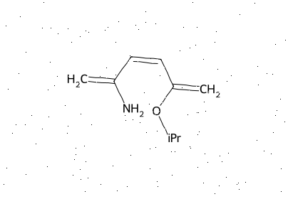 C=C(N)/C=C\C(=C)OC(C)C